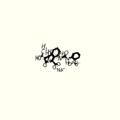 CC(O)[C@H]1C(=O)N2C(C(=O)[O-])=C3[C@@H](NC(=O)Nc4ccccc4[N+](=O)[O-])CCC[C@@H]3[C@H]12.[Na+]